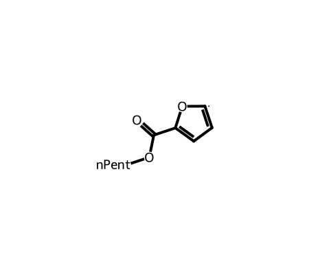 CCCCCOC(=O)c1cc[c]o1